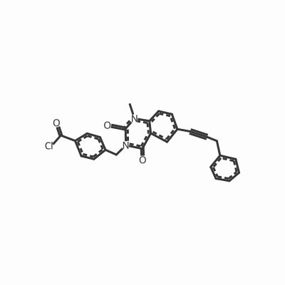 Cn1c(=O)n(Cc2ccc(C(=O)Cl)cc2)c(=O)c2cc(C#CCc3ccccc3)ccc21